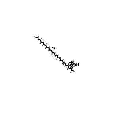 CCCCCCCCCCCC(=O)CCCCCCCCCCCC(CCCC)OS(=O)(=O)O